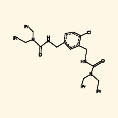 CC(C)CN(CC(C)C)C(=O)NCc1ccc(Cl)c(CNC(=O)N(CC(C)C)CC(C)C)c1